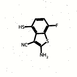 N#Cc1c(N)sc2c(F)ccc(S)c12